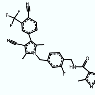 Cc1ncsc1C(=O)NCc1ccc(Cn2c(C)c(C#N)c(-c3ccc(C#N)c(C(F)(F)F)c3)c2C)cc1F